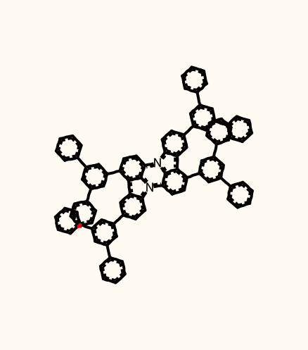 c1ccc(-c2cc(-c3ccccc3)cc(-c3ccc4c(c3)c3c(-c5cc(-c6ccccc6)cc(-c6ccccc6)c5)ccc5c3n4c3ccc(-c4cc(-c6ccccc6)cc(-c6ccccc6)c4)c4c6cc(-c7cc(-c8ccccc8)cc(-c8ccccc8)c7)ccc6n5c43)c2)cc1